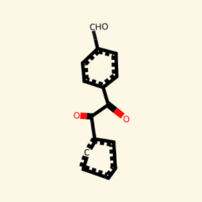 O=Cc1ccc(C(=O)C(=O)c2ccccc2)cc1